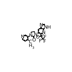 Cc1ccncc1N1CC[N+](OC(=O)C(F)(F)F)(c2cnc3[nH]cnc3c2)C1=O